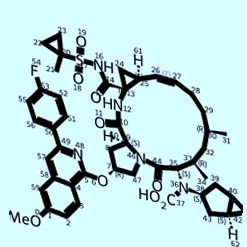 COc1ccc2c(O[C@@H]3C[C@H]4C(=O)N[C@]5(C(=O)NS(=O)(=O)C6(C)CC6)C[C@H]5/C=C\CC[C@@H](C)C[C@@H](C)[C@H](N(C(=O)O)[C@H]5CC6C[C@H]6C5)C(=O)N4C3)nc(-c3ccc(F)cc3)cc2c1